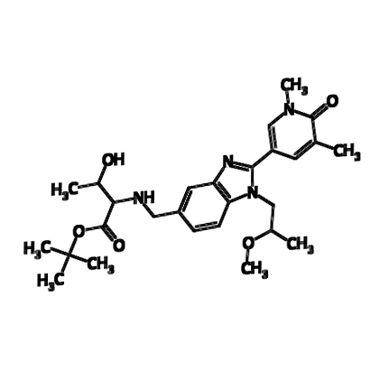 COC(C)Cn1c(-c2cc(C)c(=O)n(C)c2)nc2cc(CNC(C(=O)OC(C)(C)C)C(C)O)ccc21